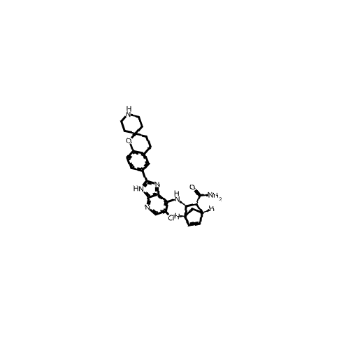 NC(=O)[C@@H]1[C@H](Nc2c(Cl)cnc3[nH]c(-c4ccc5c(c4)CCC4(CCNCC4)O5)nc23)[C@H]2C=C[C@@H]1C2